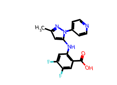 Cc1cc(Nc2cc(F)c(F)cc2C(=O)O)n(-c2ccncc2)n1